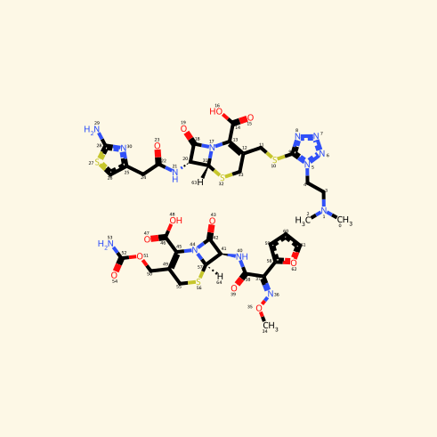 CN(C)CCn1nnnc1SCC1=C(C(=O)O)N2C(=O)[C@@H](NC(=O)Cc3csc(N)n3)[C@H]2SC1.CO/N=C(\C(=O)N[C@@H]1C(=O)N2C(C(=O)O)=C(COC(N)=O)CS[C@H]12)c1ccco1